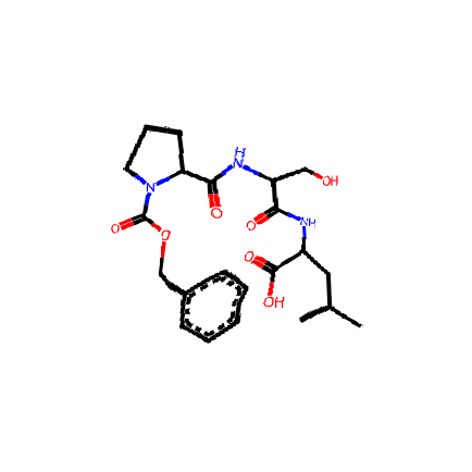 CC(C)CC(NC(=O)C(CO)NC(=O)C1CCCN1C(=O)OCc1ccccc1)C(=O)O